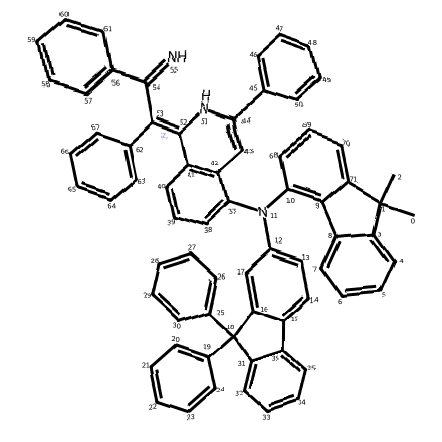 CC1(C)c2ccccc2-c2c(N(c3ccc4c(c3)C(c3ccccc3)(c3ccccc3)c3ccccc3-4)c3cccc4c3C=C(c3ccccc3)N/C4=C(\C(=N)c3ccccc3)c3ccccc3)cccc21